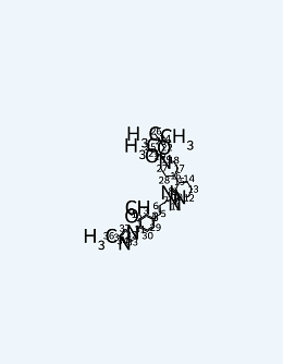 COc1cc(/C=C/c2nc3n(n2)CCCC3C2CCN(C(=O)OC(C)(C)C)CC2)ccc1-n1cnc(C)c1